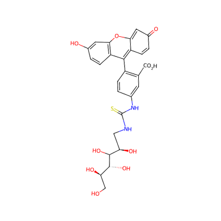 O=C(O)c1cc(NC(=S)NC[C@@H](O)C(O)[C@H](O)[C@H](O)CO)ccc1-c1c2ccc(=O)cc-2oc2cc(O)ccc12